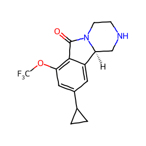 O=C1c2c(OC(F)(F)F)cc(C3CC3)cc2[C@@H]2CNCCN12